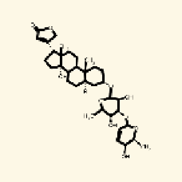 CC1OC(O[C@H]2CCC3(C)C4CCC5(C)[C@@H](C6=CC(=O)OC6)CC[C@]5(O)C4CC[C@@H]3C2)[C@@H](O)[C@@H](OC2C=C[C@H](O)[C@H](C)O2)[C@H]1O